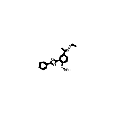 C/C=N\N=C(/C)c1ccc(OCCCC)c(C2OC(c3ccccc3)O2)c1